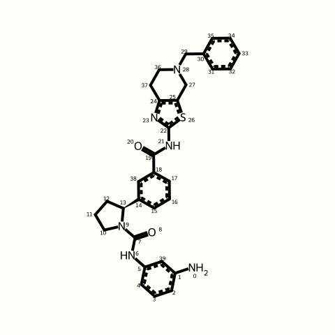 Nc1cccc(NC(=O)N2CCC[C@H]2c2cccc(C(=O)Nc3nc4c(s3)CN(Cc3ccccc3)CC4)c2)c1